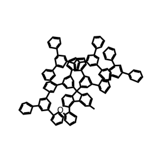 Cc1ccc2c(c1)-c1c(ccc3oc4ccccc4c13)C2(c1cc(-c2cccc(-c3cc(-c4ccccc4)cc(-c4ccccc4)c3)c2)cc(-c2cccc(-c3cc(-c4ccccc4)cc(-c4ccccc4)c3)c2)c1)c1cc(-c2cccc(-c3cc(-c4ccccc4)cc(-c4ccccc4)c3)c2)cc(-c2cccc(-c3cc(-c4ccccc4)cc(-c4ccccc4)c3)c2)c1